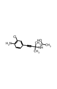 CB(O)NC(C)(C)C#Cc1ccc(N)c(Cl)c1